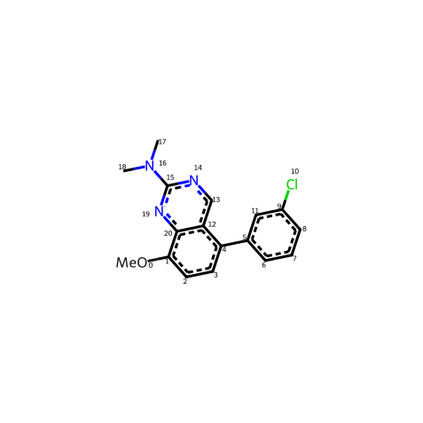 COc1ccc(-c2cccc(Cl)c2)c2cnc(N(C)C)nc12